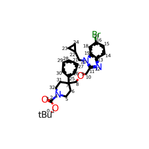 CC(C)(C)OC(=O)N1CCC(COCc2nc3ccc(Br)cc3n2CC2CC2)(c2ccccc2)CC1